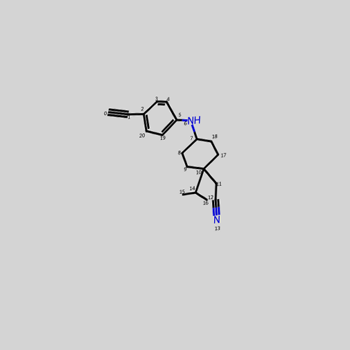 C#Cc1ccc(NC2CCC(CC#N)(C(C)C)CC2)cc1